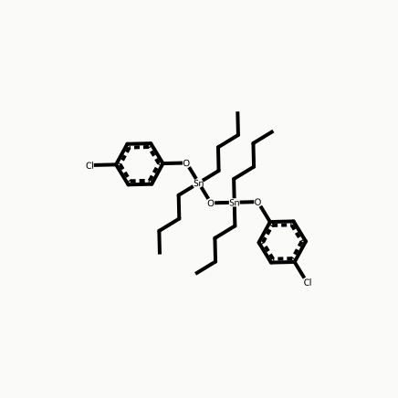 CCC[CH2][Sn]([CH2]CCC)([O]c1ccc(Cl)cc1)[O][Sn]([CH2]CCC)([CH2]CCC)[O]c1ccc(Cl)cc1